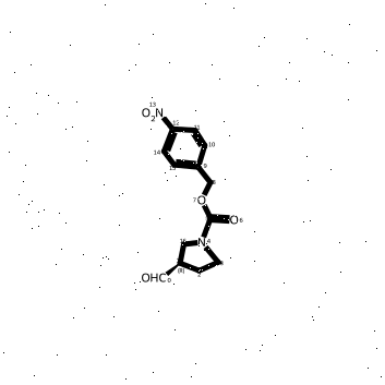 O=C[C@@H]1CCN(C(=O)OCc2ccc([N+](=O)[O-])cc2)C1